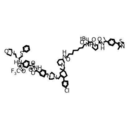 Cc1ncsc1-c1ccc([C@H](C)NC(=O)[C@@H]2CCCN2C(=O)C(NC(=O)CCCCCCC(=O)N[C@@H]2CCCN(CC3(C)CCC(c4ccc(Cl)cc4)=C(CN4CCN(c5ccc(C(=O)NS(=O)(=O)c6ccc(N[C@H](CCN7CCOCC7)CSc7ccccc7)c(S(=O)(=O)C(F)(F)F)c6)cc5)CC4)C3)C2)C(C)(C)C)cc1